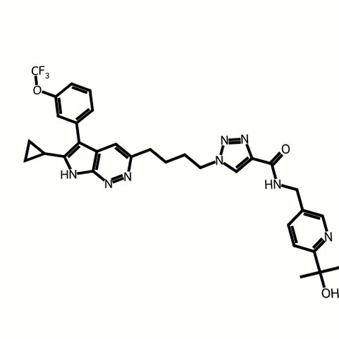 CC(C)(O)c1ccc(CNC(=O)c2cn(CCCCc3cc4c(-c5cccc(OC(F)(F)F)c5)c(C5CC5)[nH]c4nn3)nn2)cn1